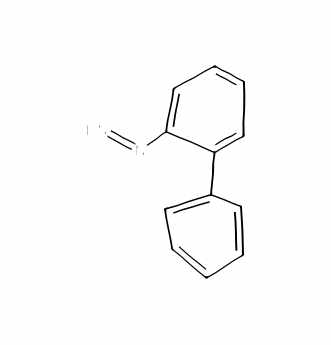 N=Nc1ccccc1-c1ccccc1